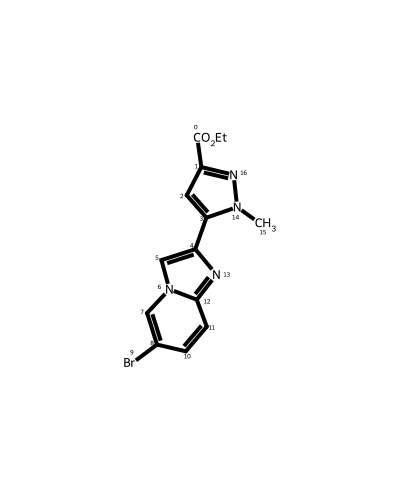 CCOC(=O)c1cc(-c2cn3cc(Br)ccc3n2)n(C)n1